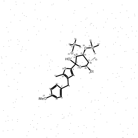 CC[C@H]1OC(O)(c2cc(Cc3ccc(OC)cc3)c(C)s2)[C@H](O[Si](C)(C)C)[C@@H](O[Si](C)(C)C)[C@@H]1C